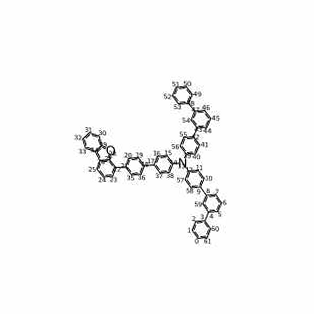 c1ccc(-c2cccc(-c3ccc(N(c4ccc(-c5ccc(-c6cccc7c6oc6ccccc67)cc5)cc4)c4ccc(-c5cccc(-c6ccccc6)c5)cc4)cc3)c2)cc1